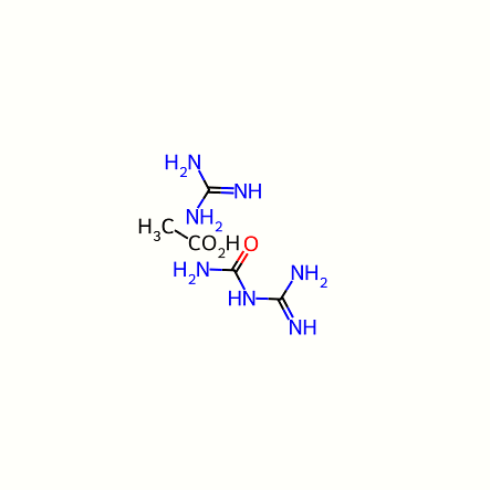 CC(=O)O.N=C(N)N.N=C(N)NC(N)=O